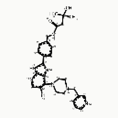 CC(C)(C)CC(=O)NCc1ccc(-c2nc3c(N4CCN(Cc5cccnc5)CC4)c(Cl)cnc3[nH]2)cc1